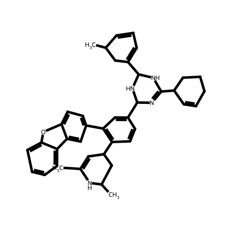 CC1=CC(c2ccc(C3N=C(C4C=CCCC4)NC(C4=CC=CC(C)C4)N3)cc2-c2ccc3oc4ccccc4c3c2)CC(C)N1